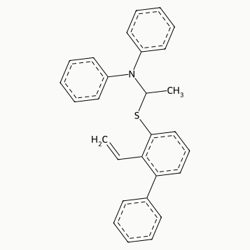 C=Cc1c(SC(C)N(c2ccccc2)c2ccccc2)cccc1-c1ccccc1